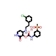 CS(=O)(=O)c1cccc(NC(=O)Oc2c(NC[C@@H](O)c3cccc(Cl)c3)cc[nH]c2=O)c1